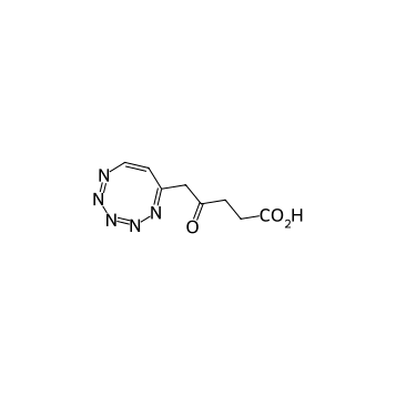 O=C(O)CCC(=O)CC1=NN=NN=NC=C1